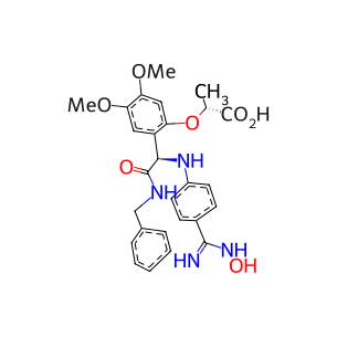 COc1cc(O[C@H](C)C(=O)O)c([C@@H](Nc2ccc(C(=N)NO)cc2)C(=O)NCc2ccccc2)cc1OC